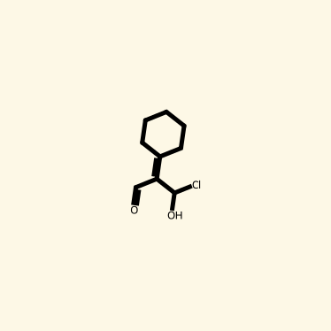 O=CC(=C1CCCCC1)C(O)Cl